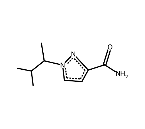 CC(C)C(C)n1ccc(C(N)=O)n1